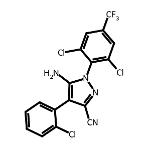 N#Cc1nn(-c2c(Cl)cc(C(F)(F)F)cc2Cl)c(N)c1-c1ccccc1Cl